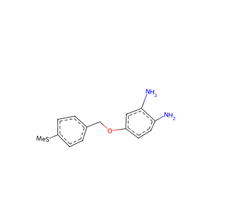 CSc1ccc(COc2ccc(N)c(N)c2)cc1